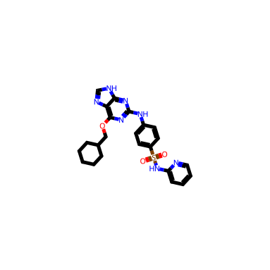 O=S(=O)(Nc1ccccn1)c1ccc(Nc2nc(OCC3CCCCC3)c3nc[nH]c3n2)cc1